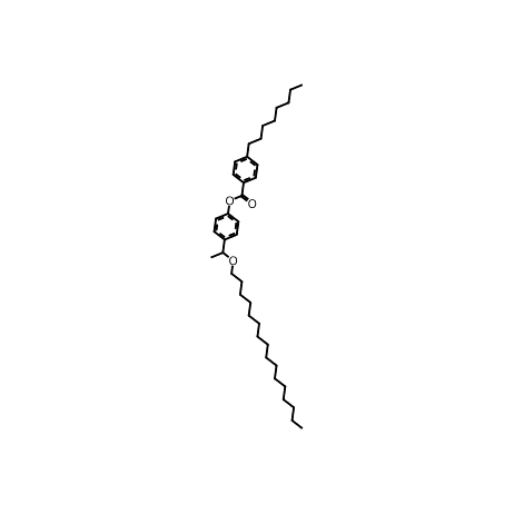 CCCCCCCCCCCCCCCCOC(C)c1ccc(OC(=O)c2ccc(CCCCCCCC)cc2)cc1